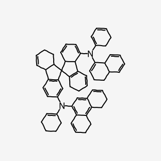 C1=CCCC(N(C2=CCCC3C=CC=CC23)C2=CC=CC3C2C2=C(CCC=C2)C32c3cc(N(C4=CCCCC4)c4cc5c(c6c4C=CCC6)CCC=C5)ccc3C3C=CCCC32)=C1